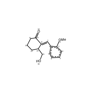 COc1ccccc1C=C1C(=O)CCCC1CO